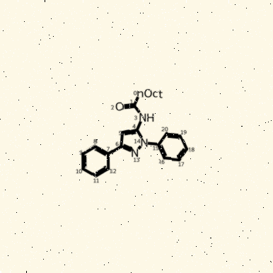 CCCCCCCCC(=O)Nc1cc(-c2ccccc2)nn1-c1ccccc1